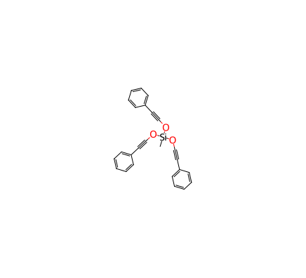 C[Si](OC#Cc1ccccc1)(OC#Cc1ccccc1)OC#Cc1ccccc1